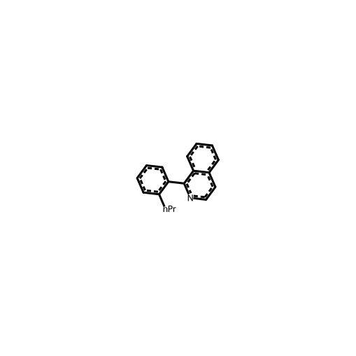 CCCc1ccccc1-c1nccc2ccccc12